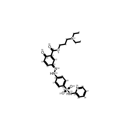 CCN(CC)CCCOC(=O)C1=CC(=NNc2ccc(S(=O)(=O)Nc3ccccn3)cc2)C=CC1=O